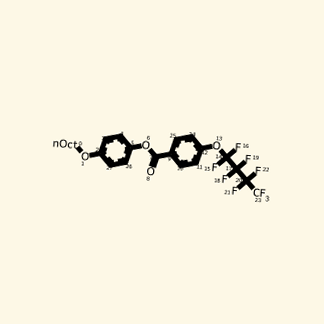 CCCCCCCCOc1ccc(OC(=O)c2ccc(OC(F)(F)C(F)(F)C(F)(F)C(F)(F)F)cc2)cc1